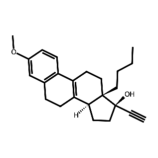 C#C[C@]1(O)CC[C@H]2C3=C(CC[C@@]21CCCC)c1ccc(OC)cc1CC3